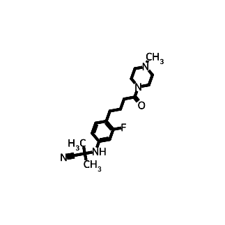 CN1CCN(C(=O)CCCc2ccc(NC(C)(C)C#N)cc2F)CC1